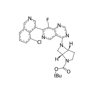 CC(C)(C)OC(=O)N1CC[C@@H]2[C@H]1CN2c1ncnc2c(F)c(-c3cncc4cccc(Cl)c34)ncc12